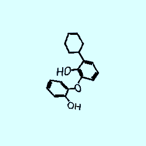 Oc1ccccc1Oc1cccc(C2CCCCC2)c1O